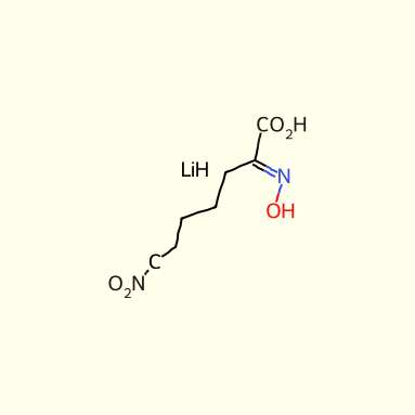 O=C(O)C(CCCCC[N+](=O)[O-])=NO.[LiH]